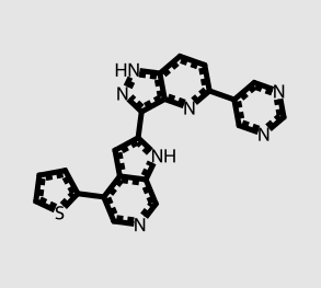 c1csc(-c2cncc3[nH]c(-c4n[nH]c5ccc(-c6cncnc6)nc45)cc23)c1